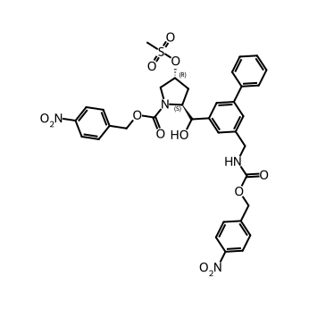 CS(=O)(=O)O[C@@H]1C[C@@H](C(O)c2cc(CNC(=O)OCc3ccc([N+](=O)[O-])cc3)cc(-c3ccccc3)c2)N(C(=O)OCc2ccc([N+](=O)[O-])cc2)C1